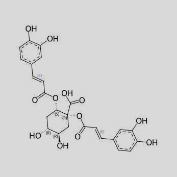 O=C(/C=C/c1ccc(O)c(O)c1)O[C@H]1C[C@@H](O)[C@H](O)C[C@]1(OC(=O)/C=C/c1ccc(O)c(O)c1)C(=O)O